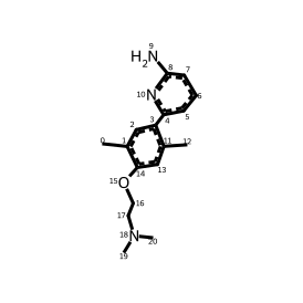 Cc1cc(-c2cccc(N)n2)c(C)cc1OCCN(C)C